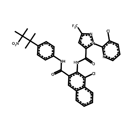 CC(C)(c1ccc(NC(=O)c2cc3ccccc3c(Cl)c2NC(=O)c2cc(C(F)(F)F)nn2-c2ncccc2Cl)cc1)C(C)(C)[N+](=O)[O-]